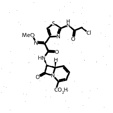 CON=C(C(=O)N[C@@H]1C(=O)N2C(C(=O)O)=CC=C[C@@H]12)c1csc(NC(=O)CCl)n1